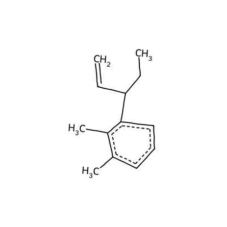 C=CC(CC)c1cccc(C)c1C